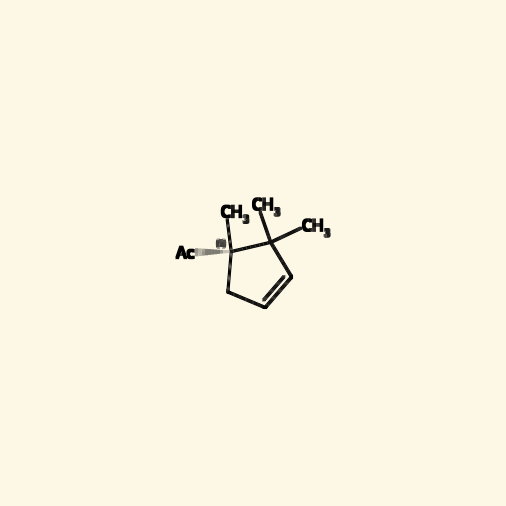 CC(=O)[C@@]1(C)CC=CC1(C)C